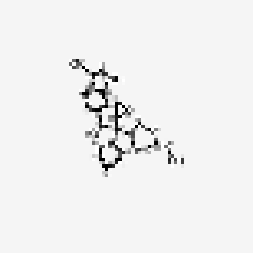 O=C(c1ccc2c(Cl)c[nH]c2c1)C(c1ccccc1)(C1CO1)N1CCC(CO)CC1